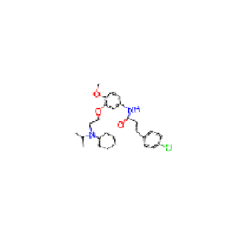 COc1ccc(NC(=O)C=Cc2ccc(Cl)cc2)cc1OCCN(C(C)C)C1CCCCC1